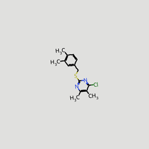 Cc1ccc(CSc2nc(C)c(C)c(Cl)n2)cc1C